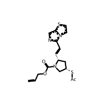 C=CCOC(=O)N1C[C@@H](SC(C)=O)C[C@H]1/C=C/c1ncc2sccn12